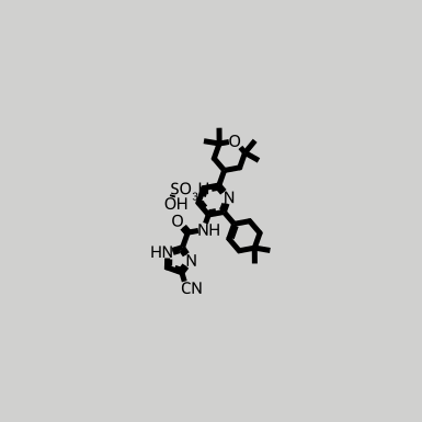 CC1(C)CC=C(c2nc(C3CC(C)(C)OC(C)(C)C3)ccc2NC(=O)c2nc(C#N)c[nH]2)CC1.O=S(=O)(O)O